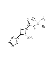 C[C@@H]1[C@@H](c2nnco2)CN1C(=O)OC(C)(C)C